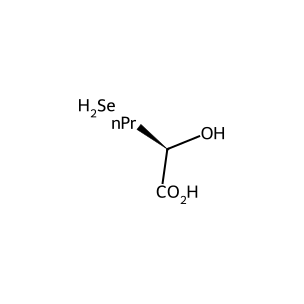 CCC[C@@H](O)C(=O)O.[SeH2]